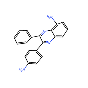 Nc1ccc(-c2nc3cccc(N)c3nc2-c2ccccc2)cc1